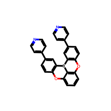 c1cc2c3c(c1)Oc1ccc(-c4ccncc4)cc1B3c1cc(-c3ccncc3)ccc1O2